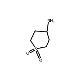 NC1[CH]CS(=O)(=O)CC1